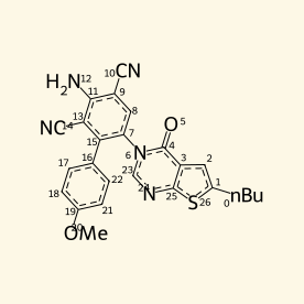 CCCCc1cc2c(=O)n(-c3cc(C#N)c(N)c(C#N)c3-c3ccc(OC)cc3)cnc2s1